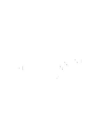 Nc1ccc(=O)n(C2CCC(c3cccc(Cl)c3)CC2)n1